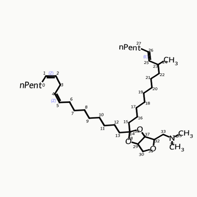 CCCCC/C=C\C/C=C\CCCCCCCCC1(CCCCCCCCC(C)/C=C/CCCCC)OC2COC(CN(C)C)C2O1